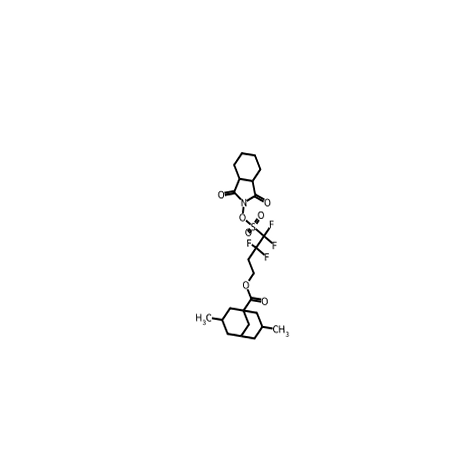 CC1CC2CC(C)CC(C(=O)OCCC(F)(F)C(F)(F)S(=O)(=O)ON3C(=O)C4CCCCC4C3=O)(C1)C2